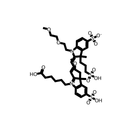 COCCOCCN1/C(=C/C=C/C2=[N+](CCCCCC(=O)O)c3ccc(S(=O)(=O)O)cc3C2(C)CCOC)C(C)(CCCS(=O)(=O)O)c2cc(S(=O)(=O)[O-])ccc21